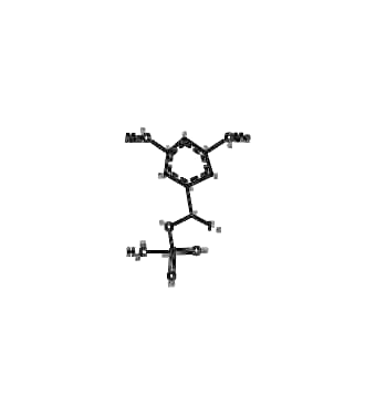 COc1cc(OC)cc(C(F)OS(C)(=O)=O)c1